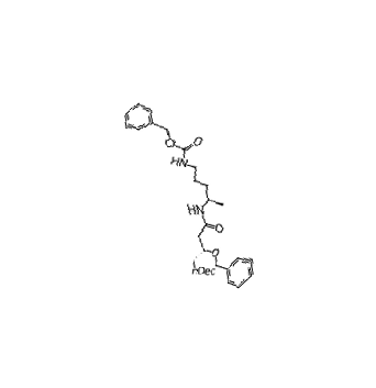 CCCCCCCCCCC[C@H](CC(=O)N[C@H](C)CCCNC(=O)OCc1ccccc1)OCc1ccccc1